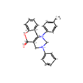 Cc1ccc(N2CN(c3ccccc3)Cc3c2c2ccccc2oc3=O)cc1